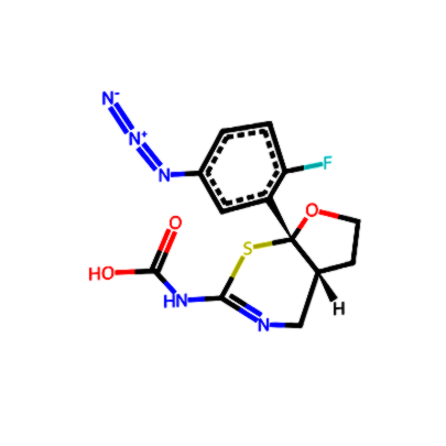 [N-]=[N+]=Nc1ccc(F)c([C@@]23OCC[C@@H]2CN=C(NC(=O)O)S3)c1